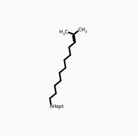 [CH2]CCCCCCCCCCCCCCCC=C(C)C